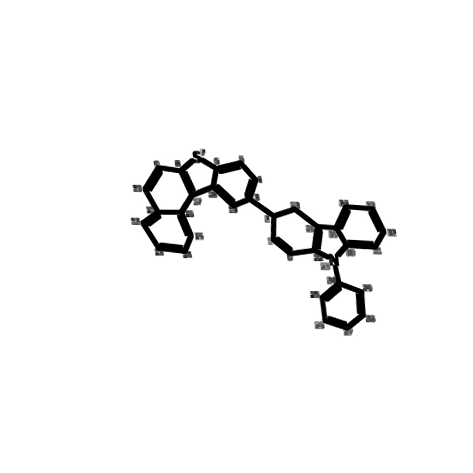 C1=CC(c2ccc3sc4ccc5ccccc5c4c3c2)Cc2c1n(-c1ccccc1)c1ccccc21